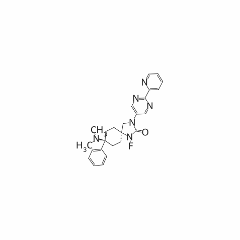 CN(C)[C@]1(c2ccccc2)CC[C@]2(CC1)CN(c1cnc(-c3ccccn3)nc1)C(=O)N2F